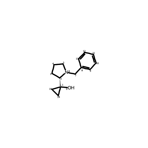 OC1([C@@H]2CCCN2Cc2ccccc2)CC1